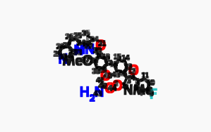 CNC(=O)c1c(-c2ccc(F)cc2)oc2ccc(-c3cc(C(=O)NC4(c5ccc6ccncc6n5)CC4)c(OC)cc3OCC(N)=O)cc12